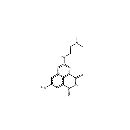 CN(C)CCNc1cc2c3c(cc(N)cc3c1)C(=O)NC2=O